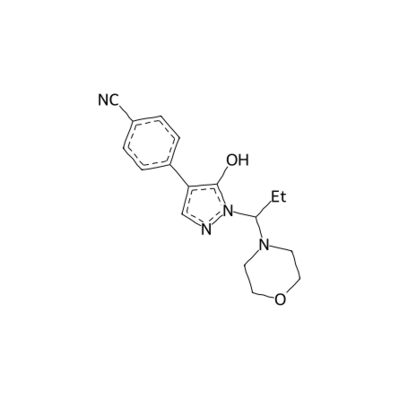 [CH2]CC(N1CCOCC1)n1ncc(-c2ccc(C#N)cc2)c1O